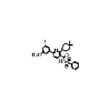 CC(C)COc1cc(F)cc(-c2ccc(C(=O)NS(=O)(=O)c3ccccc3)c(N3CCC(C)(C)CC3)n2)c1